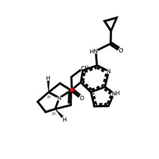 N#CCC(=O)N1[C@@H]2CC[C@H]1C=C(c1cc(NC(=O)C3CC3)nc3[nH]ccc13)C2